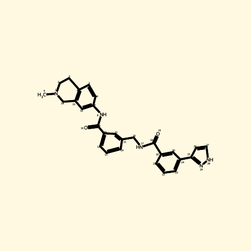 CN1CCc2ccc(NC(=O)c3cccc(CNC(=O)c4cccc(-c5cc[nH]n5)c4)c3)cc2C1